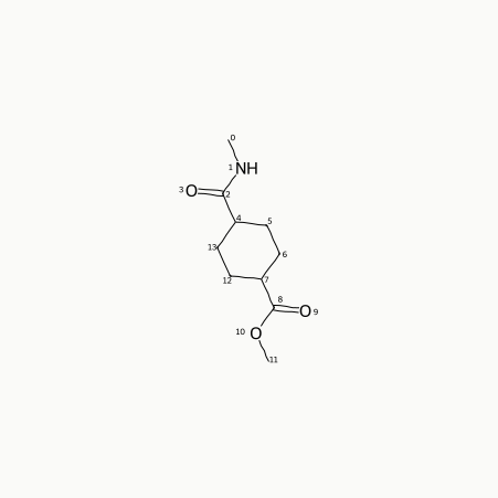 CNC(=O)C1CCC(C(=O)OC)CC1